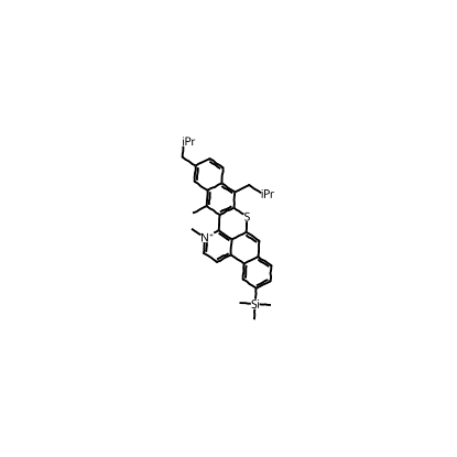 Cc1c2c(c(CC(C)C)c3ccc(CC(C)C)cc13)Sc1cc3ccc([Si](C)(C)C)cc3c3cc[n+](C)c-2c13